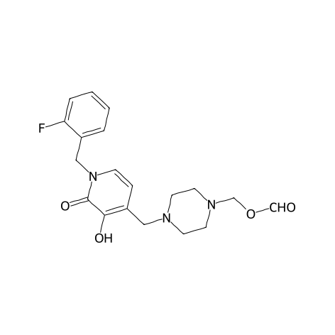 O=COCN1CCN(Cc2ccn(Cc3ccccc3F)c(=O)c2O)CC1